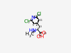 CN[C@@H](Cc1cc(Cl)nc(Cl)c1)C(=O)O